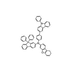 C1=Cc2oc3cc(N(c4ccc(-c5ccc6c(c5)c5ccccc5n6-c5ccccc5)cc4)c4ccc5c(c4)C(c4ccccc4)(c4ccccc4)c4ccccc4-5)ccc3c2CC1